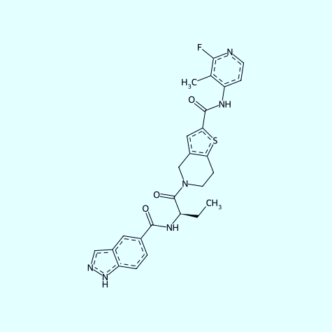 CC[C@@H](NC(=O)c1ccc2[nH]ncc2c1)C(=O)N1CCc2sc(C(=O)Nc3ccnc(F)c3C)cc2C1